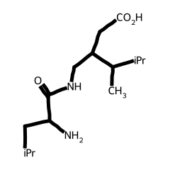 CC(C)CC(N)C(=O)NCC(CC(=O)O)C(C)C(C)C